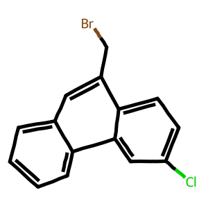 Clc1ccc2c(CBr)cc3ccccc3c2c1